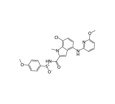 COc1ccc([S+]([O-])NC(=O)c2cc3c(Nc4cccc(OC)n4)ccc(Cl)c3n2C)cc1